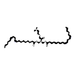 CCCCC/C=C\C/C=C\CCCCCCCC(=O)OCN(COC(=O)CCCCCCC/C=C\C/C=C\CCCCC)C(=O)CSCCN(C)C